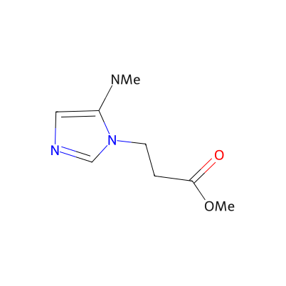 CNc1cncn1CCC(=O)OC